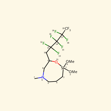 CO[Si]1(OC)CCCN(C)CC(CC(F)(F)C(F)(F)C(F)(F)C(F)(F)F)O1